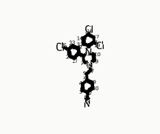 N#Cc1ccc(CCN2CCN(c3ccc(Cl)cc3Cl)C(c3ccc(Cl)cc3)C2)cc1